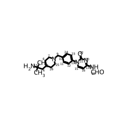 CC(C)(N)CC1CCN(Cc2ccc(-n3ccc(NC=O)nc3=O)cc2)CC1